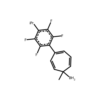 BC1(C)C=CC=C(c2c(F)c(F)c(C(C)C)c(F)c2F)C=C1